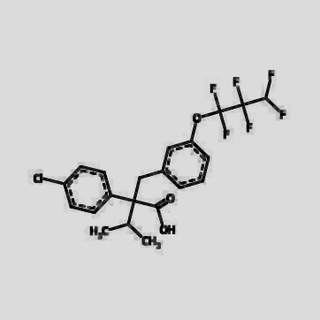 CC(C)C(Cc1cccc(OC(F)(F)C(F)(F)C(F)F)c1)(C(=O)O)c1ccc(Cl)cc1